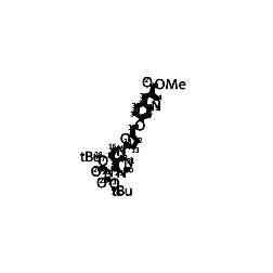 COC(=O)c1cnc2cc(OCC3CCC(n4ccc5c(N(C(=O)OC(C)(C)C)C(=O)OC(C)(C)C)ncnc54)O3)ccc2c1